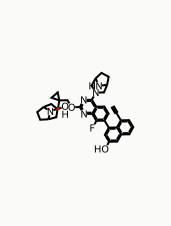 C#Cc1cccc2cc(O)cc(-c3ccc4c(N5CC6CCC(C5)N6)nc(OCC5(CN6C7CCC6CC(O)C7)CC5)nc4c3F)c12